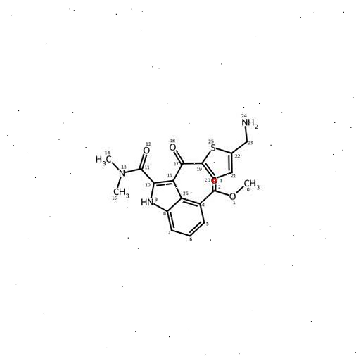 COC(=O)c1cccc2[nH]c(C(=O)N(C)C)c(C(=O)c3ccc(CN)s3)c12